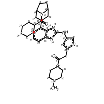 CN1CCN(C(=O)Cn2cc(Nc3nc4c(N5CC6CCC(C5)N6C(=O)C5CCSCC5)cccn4n3)cn2)CC1